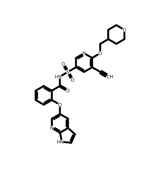 C#Cc1cc(S(=O)(=O)NC(=O)c2ccccc2Oc2cnc3[nH]ccc3c2)cnc1OCC1CCOCC1